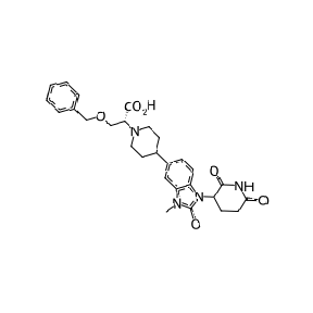 Cn1c(=O)n(C2CCC(=O)NC2=O)c2ccc(C3CCN([C@H](COCc4ccccc4)C(=O)O)CC3)cc21